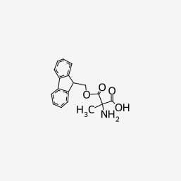 CC(N)(C(=O)O)C(=O)OCC1c2ccccc2-c2ccccc21